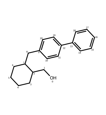 OCC1CCCCC1Cc1ccc(-c2ccccc2)cc1